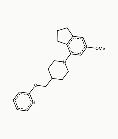 COc1cc2c(c(N3CCC(COc4ccccn4)CC3)c1)CCC2